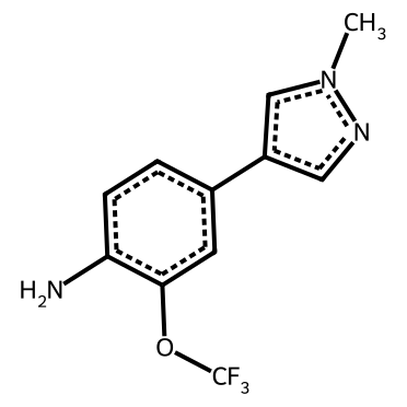 Cn1cc(-c2ccc(N)c(OC(F)(F)F)c2)cn1